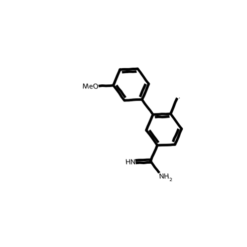 [CH2]c1ccc(C(=N)N)cc1-c1cccc(OC)c1